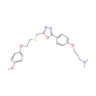 COc1ccc(OCCSCc2nnc(-c3ccc(OCCCN(C)C)cc3)o2)cc1